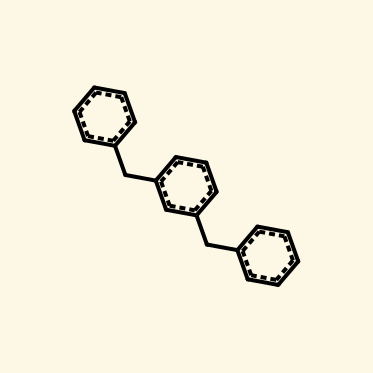 c1ccc(Cc2cccc(Cc3ccccc3)c2)cc1